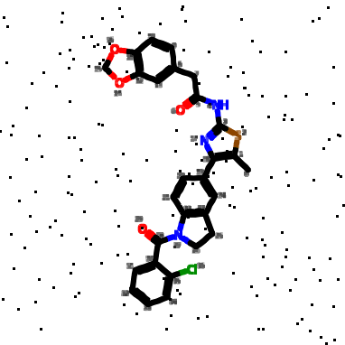 Cc1sc(NC(=O)Cc2ccc3c(c2)OCO3)nc1-c1ccc2c(c1)CCN2C(=O)c1ccccc1Cl